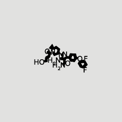 NC(=O)c1c(-c2ccc(Oc3ccc(F)cc3F)cc2)nn(C2CCC3(CC3)N(C(=O)/C=C/CO)C2)c1N